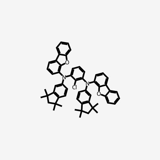 CC1(C)CC(C)(C)c2cc(N(c3cccc(N(c4ccc5c(c4)C(C)(C)CC5(C)C)c4cccc5c4oc4ccccc45)c3Cl)c3cccc4c3oc3ccccc34)ccc21